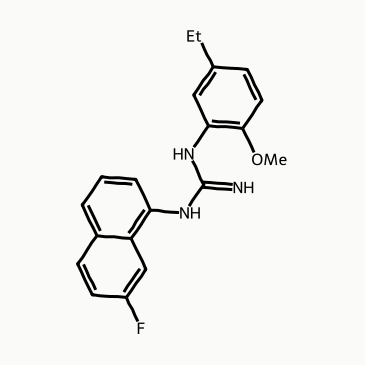 CCc1ccc(OC)c(NC(=N)Nc2cccc3ccc(F)cc23)c1